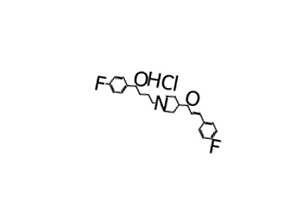 Cl.O=C(CCCN1CCC(C(=O)C=Cc2ccc(F)cc2)CC1)c1ccc(F)cc1